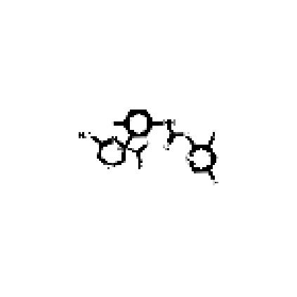 NC1=N[C@@](c2cc(NC(=O)Oc3ncc(F)cc3F)ccc2F)(C(F)F)COC1